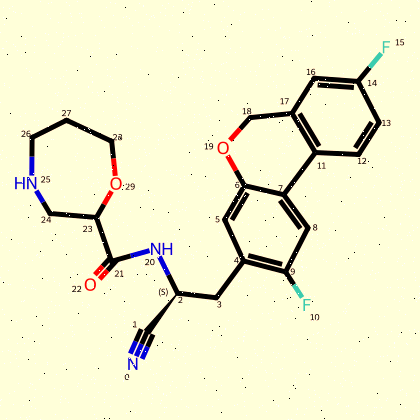 N#C[C@H](Cc1cc2c(cc1F)-c1ccc(F)cc1CO2)NC(=O)C1CNCCCO1